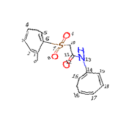 Cc1ccccc1S(=O)(=O)CC(=O)Nc1ccccc1